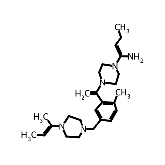 C=C(c1cc(CN2CCN(/C(C)=C/C)CC2)ccc1C)N1CCN(/C(N)=C/CC)CC1